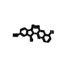 CCc1cccc2nc(C3C(=O)c4ccc(O)cc4C3=O)c(O)cc12